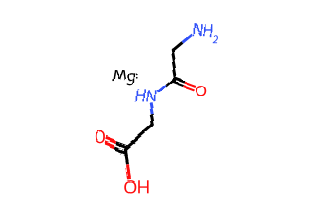 NCC(=O)NCC(=O)O.[Mg]